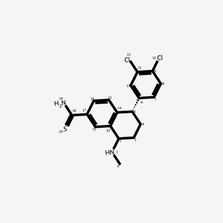 CNC1CC[C@@H](c2ccc(Cl)c(Cl)c2)c2ccc(C(N)=S)cc21